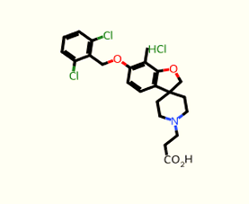 Cc1c(OCc2c(Cl)cccc2Cl)ccc2c1OCC21CCN(CCC(=O)O)CC1.Cl